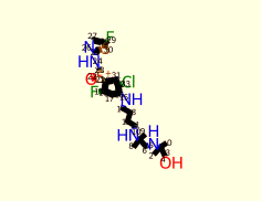 CC(C)(CO)NCC(C)(C)NCCCCNc1cc(F)c([S+]([O-])CNc2ncc(F)s2)cc1Cl